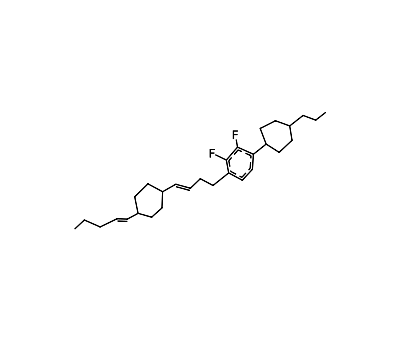 CCC/C=C/C1CCC(/C=C/CCc2ccc(C3CCC(CCC)CC3)c(F)c2F)CC1